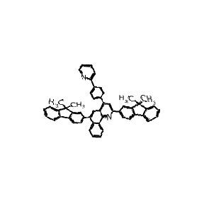 CC1(C)c2ccccc2-c2ccc(-c3cc(-c4ccc(-c5ccccn5)cc4)c4cc(-c5ccc6c(c5)C(C)(C)c5ccccc5-6)c5ccccc5c4n3)cc21